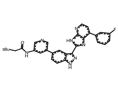 CC(C)(C)CC(=O)Nc1cncc(-c2ccc3[nH]nc(-c4nc5c(-c6cccc(F)c6)ccnc5[nH]4)c3c2)c1